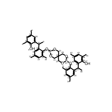 Cc1cc(C)c(O)c(C(C)c2cc(C)cc(C)c2OP2OCC3(CO2)COP(Oc2c(C)cc(C)cc2C(C)c2cc(C)cc(C)c2O)OC3)c1